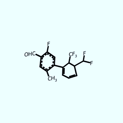 Cc1cc(C=O)c(F)cc1C1=CC=CC(C(F)F)C1C(F)(F)F